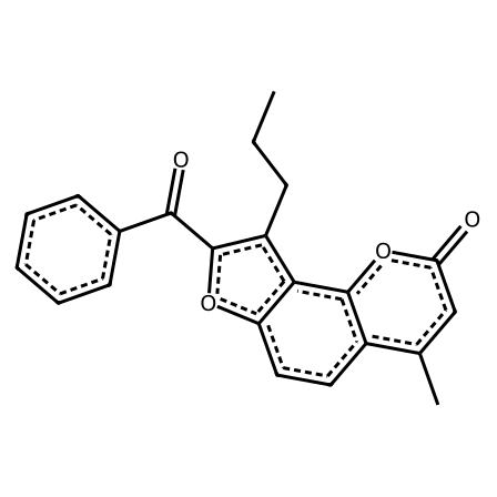 CCCc1c(C(=O)c2ccccc2)oc2ccc3c(C)cc(=O)oc3c12